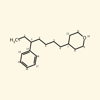 CCC(CCCCC1CCOCC1)c1ccccc1